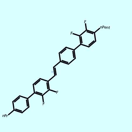 CCCCCc1ccc(-c2ccc(/C=C/c3ccc(-c4ccc(CCC)cc4)c(F)c3F)cc2)c(F)c1F